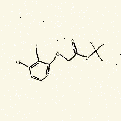 CC(C)(C)OC(=O)COc1cccc(Cl)c1I